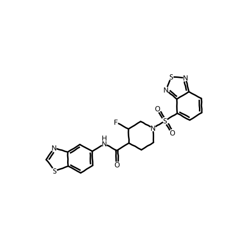 O=C(Nc1ccc2scnc2c1)C1CCN(S(=O)(=O)c2cccc3nsnc23)CC1F